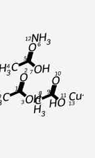 CC(=O)O.CC(=O)O.CC(=O)O.N.[Cu]